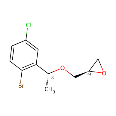 C[C@@H](OC[C@H]1CO1)c1cc(Cl)ccc1Br